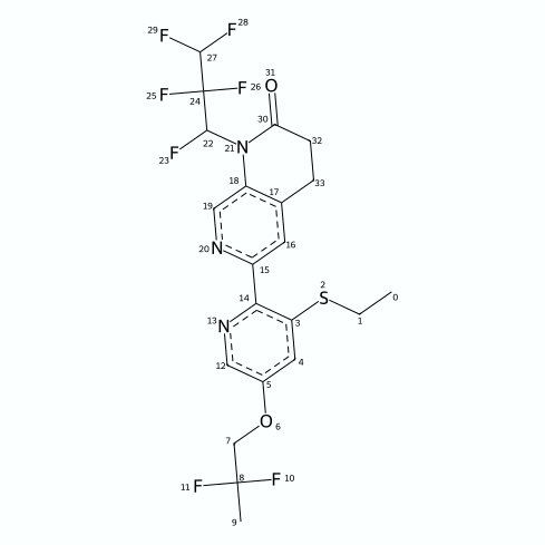 CCSc1cc(OCC(C)(F)F)cnc1-c1cc2c(cn1)N(C(F)C(F)(F)C(F)F)C(=O)CC2